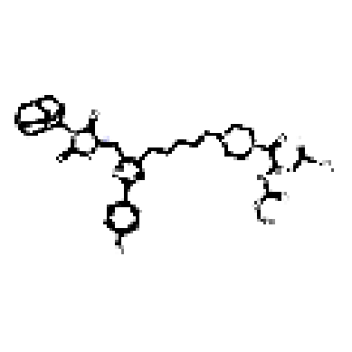 CC(C)(C)OC(=O)N[C@@H](CC(N)=O)C(=O)N1CCN(CCCCCc2cc(-c3ccc(Cl)cc3)oc2/C=C2\SC(=S)N(C3C4CC5CC(C4)CC3C5)C2=O)CC1